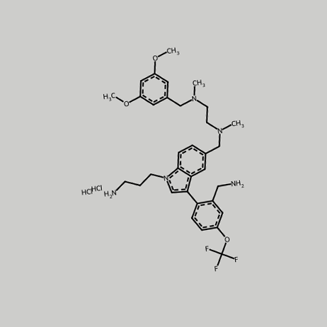 COc1cc(CN(C)CCN(C)Cc2ccc3c(c2)c(-c2ccc(OC(F)(F)F)cc2CN)cn3CCCN)cc(OC)c1.Cl.Cl